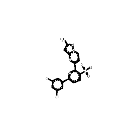 CCS(=O)(=O)c1ccc(-c2cc(Cl)cc(Cl)c2)nc1-c1ccn2nc(C(F)(F)F)cc2n1